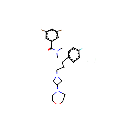 CN(C[C@@H](CCN1CC(N2CCOCC2)C1)c1ccc(F)cc1)C(=O)c1cc(Br)cc(Br)c1.Cl.Cl